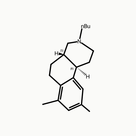 CCCCN1CC[C@H]2c3cc(C)cc(C)c3CC[C@@H]2C1